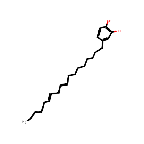 CCCCCC=CCC=CCCCCCCCCc1ccc(O)c(O)c1